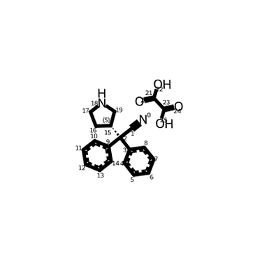 N#CC(c1ccccc1)(c1ccccc1)[C@@H]1CCNC1.O=C(O)C(=O)O